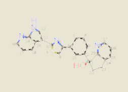 O[C@@]1(c2cccc(-c3csc(-c4c[nH]c5ncccc45)n3)c2)CCc2cccnc21